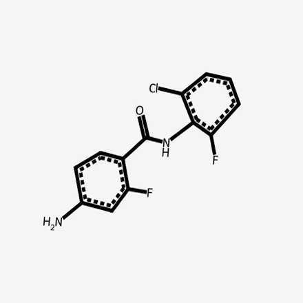 Nc1ccc(C(=O)Nc2c(F)cccc2Cl)c(F)c1